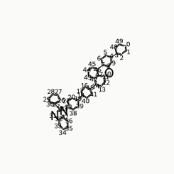 c1ccc(-c2ccc3c(c2)Oc2ccc(-c4ccc(-c5ccc(-n6c(-c7ccccc7)nc7ccccc76)cc5)cc4)c4cccc-3c24)cc1